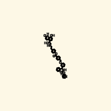 O=C(NC(c1ccccc1)c1cccc(OCc2ccc(C(=O)Oc3ccc(CCNC[C@@H](O)c4ccc(O)c5[nH]c(=O)ccc45)cc3)cc2)c1)O[C@H]1CN2CCC1CC2